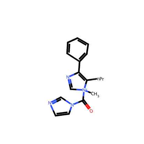 CCCC1=C(c2ccccc2)N=C[N+]1(C)C(=O)n1ccnc1